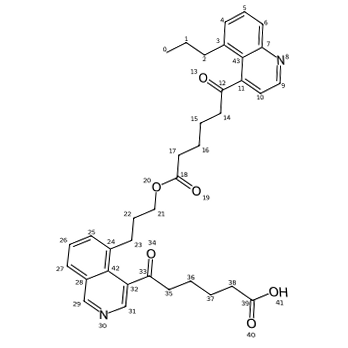 CCCc1cccc2nccc(C(=O)CCCCC(=O)OCCCc3cccc4cncc(C(=O)CCCCC(=O)O)c34)c12